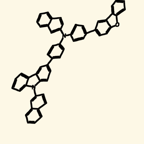 c1ccc2cc(N(c3ccc(-c4ccc5oc6ccccc6c5c4)cc3)c3ccc(-c4ccc5c(c4)c4ccccc4n5-c4ccc5ccccc5c4)cc3)ccc2c1